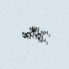 C[C@H](Nc1nc(N)nc(N)c1C#N)c1nc2ccn(C)c2cc1-c1ccnn1C